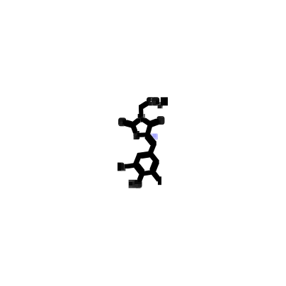 O=C(O)CN1C(=O)S/C(=C\c2cc(Br)c(O)c(I)c2)C1=O